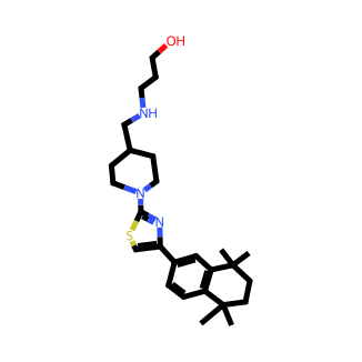 CC1(C)CCC(C)(C)c2cc(-c3csc(N4CCC(CNCCCO)CC4)n3)ccc21